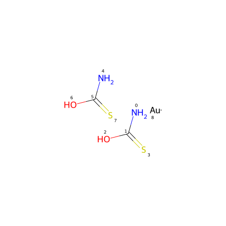 NC(O)=S.NC(O)=S.[Au]